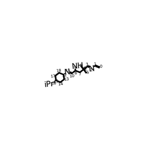 C=C/N=C/C(C)(C)CC(N)/C=N/[C@H]1CC[C@@H](C(C)C)CC1